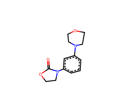 O=C1OCCN1c1cccc(N2CCOCC2)c1